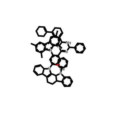 Cc1cc(C)c2c(c1)c1cc(C)cc(C)c1n2-c1cc(N2C3=C(CCC4c5ccccc5N(c5ccccc5)C34)C3C=CC=CC32)c(C#N)cc1C1=NC(c2ccccc2)NC(C2=CCCC(C3=CCCCC3)=C2)N1C